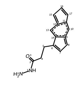 NNC(=O)CCC1=CC=c2cc3c(cc21)=CC=C3